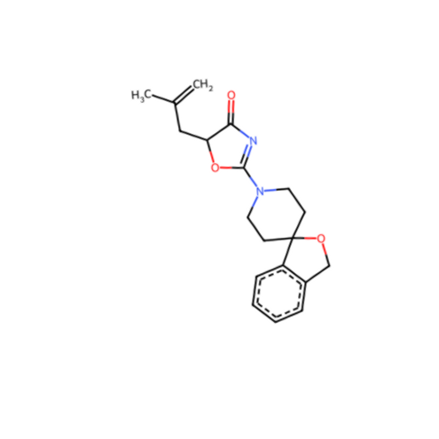 C=C(C)CC1OC(N2CCC3(CC2)OCc2ccccc23)=NC1=O